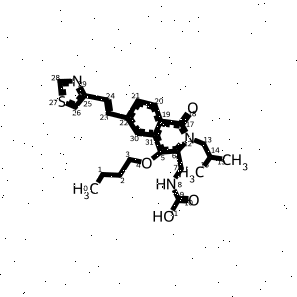 CCCCOc1c(CNC(=O)O)n(CC(C)C)c(=O)c2ccc(C=Cc3cscn3)cc12